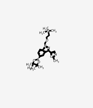 Cc1ncc(-c2nn(COCC[Si](C)(C)C)c3ccc(B4OC(C)(C)C(C)(C)O4)cc23)o1